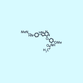 C=CC(=O)Nc1cc(Oc2ncnc3[nH]c(-c4ccc(NCCNC)cc4)cc23)ccc1OC